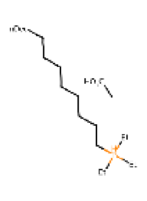 CC(=O)O.CCCCCCCCCCCCCCCCCC[PH](CC)(CC)CC